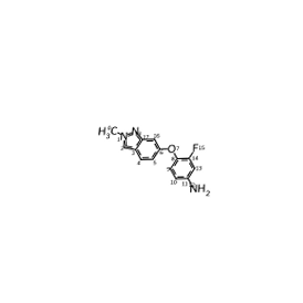 Cn1cc2ccc(Oc3ccc(N)cc3F)cc2n1